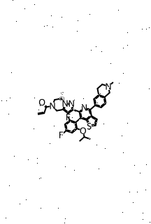 C=CC(=O)N1Cc2cc(-c3nc(-c4ccc5c(c4)CCN(C)C5)c4ccsc4c3-c3c(F)cc(F)cc3OC(C)C)nn2[C@@H](C)C1